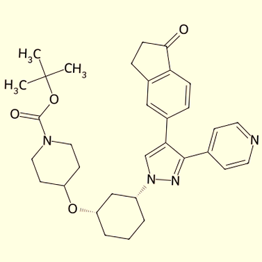 CC(C)(C)OC(=O)N1CCC(O[C@H]2CCC[C@@H](n3cc(-c4ccc5c(c4)CCC5=O)c(-c4ccncc4)n3)C2)CC1